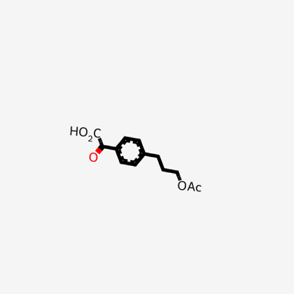 CC(=O)OCCCc1ccc(C(=O)C(=O)O)cc1